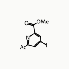 COC(=O)c1cc(I)cc(C(C)=O)n1